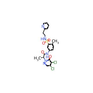 Cc1ccc(NC(=O)[C@H](C)n2ncc(Cl)c(Cl)c2=O)cc1S(=O)(=O)NCCc1ccccn1